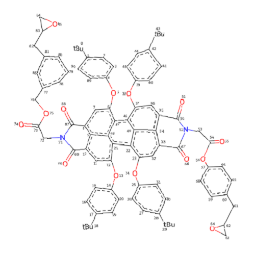 CC(C)(C)c1ccc(Oc2cc3c4c(cc(Oc5ccc(C(C)(C)C)cc5)c5c6c(Oc7ccc(C(C)(C)C)cc7)cc7c8c(cc(Oc9ccc(C(C)(C)C)cc9)c(c2c45)c86)C(=O)N(CC(=O)Oc2ccc(CC4CO4)cc2)C7=O)C(=O)N(CC(=O)OCc2cccc(CC4CO4)c2)C3=O)cc1